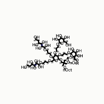 CCCCCCCCOCC(COCCCCCCCC)(COCCCCCCCC)CO[C@@H]1OC(COCCCO[C@H](O)/C(O)=C(\O)[C@H](O)CCO)[C@@H](OCCCO[C@H](O)/C(O)=C(\O)[C@H](O)CCO)C(OCCCO[C@@H]2OC(CO)[C@@H](O)C(O)C2O)C1OCCCO[C@@H]1OC(CO)[C@@H](O)[C@H](O)C1O